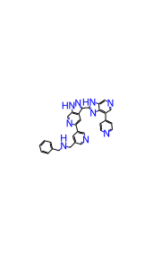 c1ccc(CNCc2cncc(-c3cc4c(-c5nc6c(-c7ccncc7)cncc6[nH]5)n[nH]c4cn3)c2)cc1